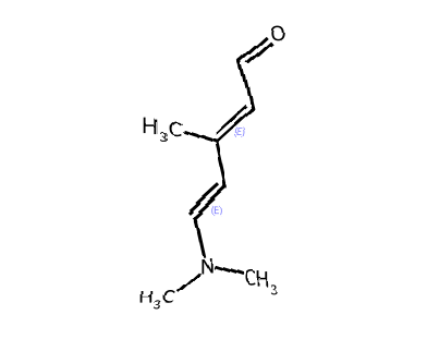 CC(/C=C/N(C)C)=C\C=O